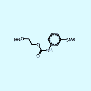 COCCOC(=O)Nc1cccc(SC)c1